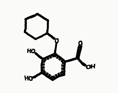 O=C(O)c1ccc(O)c(O)c1OC1CCCCC1